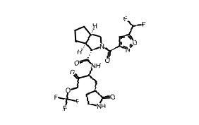 O=C(COC(F)(F)F)C(C[C@@H]1CCNC1=O)NC(=O)[C@@H]1[C@H]2CCC[C@H]2CN1C(=O)c1cc(C(F)F)on1